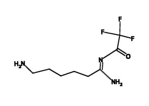 NCCCCCC(N)=NC(=O)C(F)(F)F